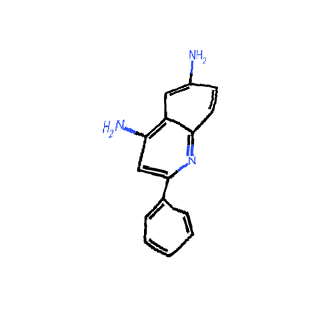 Nc1ccc2nc(-c3ccccc3)cc(N)c2c1